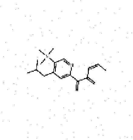 C=C(/C=C\C)C(=C)c1cc(CC(C)C)c([Si](C)(C)C)cn1